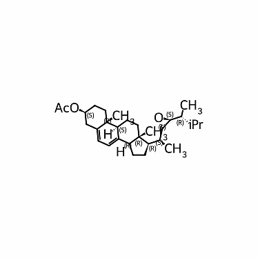 CC(=O)O[C@H]1CC[C@@]2(C)C(=CC=C3[C@@H]4CC[C@H]([C@H](C)[C@@H]5O[C@H]5[C@H](C)C(C)C)[C@@]4(C)CC[C@@H]32)C1